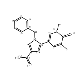 Cc1cc(-c2nc(C(=O)O)cn2Cc2ccccc2)cn(C)c1=O